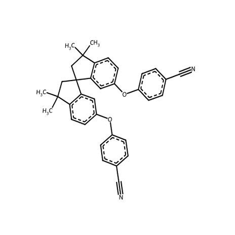 CC1(C)CC2(CC(C)(C)c3ccc(Oc4ccc(C#N)cc4)cc32)c2cc(Oc3ccc(C#N)cc3)ccc21